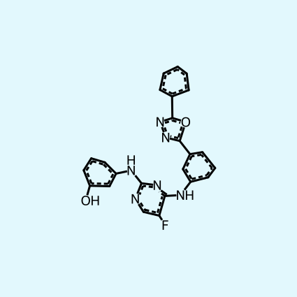 Oc1cccc(Nc2ncc(F)c(Nc3cccc(-c4nnc(-c5ccccc5)o4)c3)n2)c1